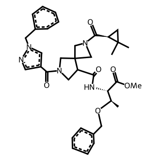 COC(=O)[C@@H](NC(=O)C1CN(C(=O)c2cnn(Cc3ccccc3)c2)CC12CN(C(=O)[C@H]1CC1(C)C)C2)[C@@H](C)OCc1ccccc1